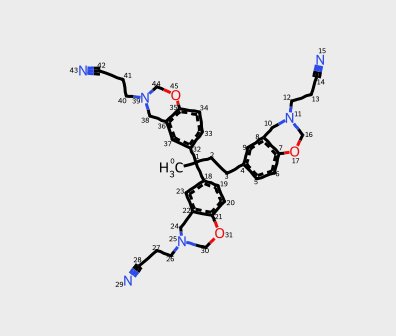 CC(CCc1ccc2c(c1)CN(CCC#N)CO2)(c1ccc2c(c1)CN(CCC#N)CO2)c1ccc2c(c1)CN(CCC#N)CO2